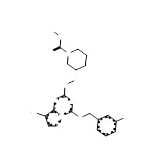 CC(C)c1cnn2c(NCc3cccc([N+](=O)[O-])c3)nc(OC[C@H]3CCCN(C(=O)OC(C)(C)C)C3)nc12